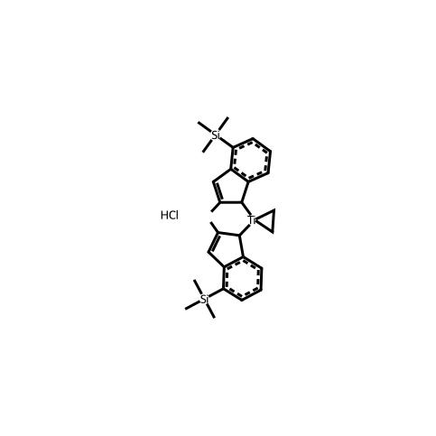 CC1=Cc2c(cccc2[Si](C)(C)C)[CH]1[Ti]1([CH]2C(C)=Cc3c2cccc3[Si](C)(C)C)[CH2][CH2]1.Cl